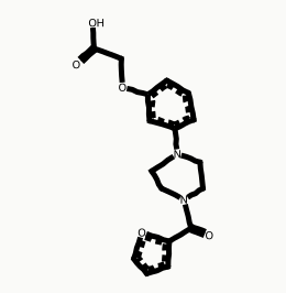 O=C(O)COc1cccc(N2CCN(C(=O)c3ccco3)CC2)c1